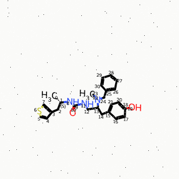 C[C@@H](Cc1ccsc1)NC(=O)NCC(Cc1ccc(O)cc1)N(C)Cc1ccccc1